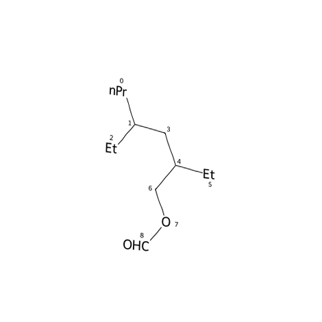 CCCC(CC)CC(CC)COC=O